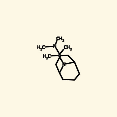 CC(C)N1C2CCCC1CC(N(C)C)C2